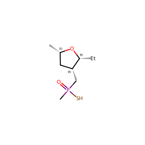 CC[C@H]1O[C@@H](C)C[C@H]1CP(C)(=O)S